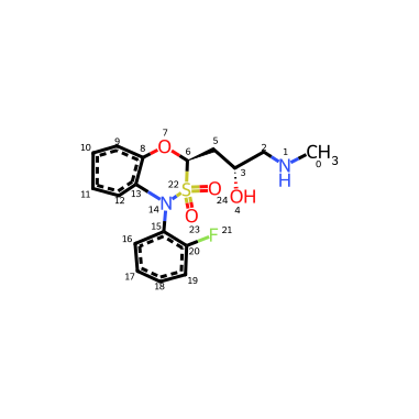 CNC[C@H](O)C[C@@H]1Oc2ccccc2N(c2ccccc2F)S1(=O)=O